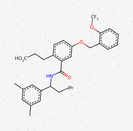 Cc1cc(C)cc(C(CC(C)C)NC(=O)c2cc(OCc3ccccc3OC(F)(F)F)ccc2CCC(=O)O)c1